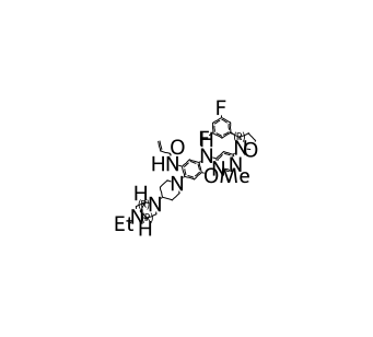 C=CC(=O)Nc1cc(Nc2cc(N3OCC[C@@H]3c3cc(F)cc(F)c3)ncn2)c(OC)cc1N1CCC(N2C[C@H]3C[C@@H]2CN3CC)CC1